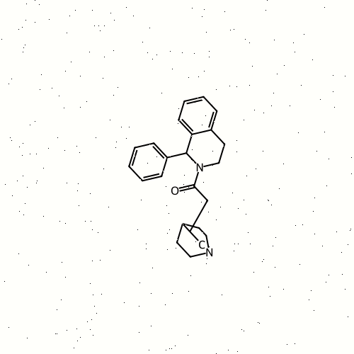 O=C(CC1CN2CCC1CC2)N1CCc2ccccc2C1c1ccccc1